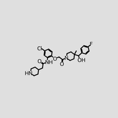 CC1(C(O)c2ccc(F)cc2)CCN(C(=O)COc2ccc(Cl)cc2NC(=O)CC2CCNCC2)CC1